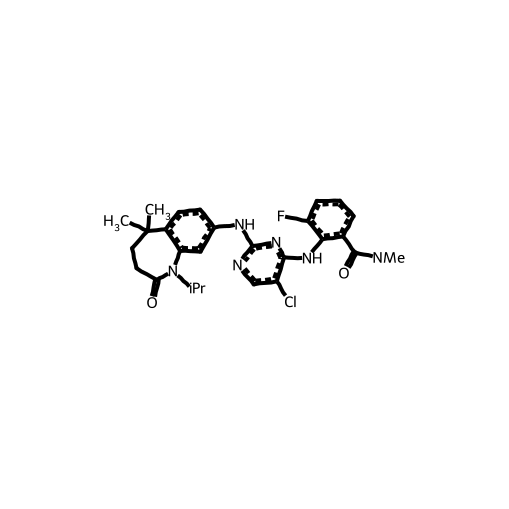 CNC(=O)c1cccc(F)c1Nc1nc(Nc2ccc3c(c2)N(C(C)C)C(=O)CCC3(C)C)ncc1Cl